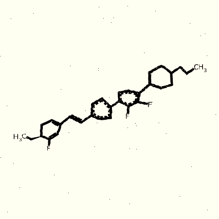 CCCC1CCC(c2ccc(-c3ccc(/C=C/C4=CC[C@H](CC)C(F)=C4)cc3)c(F)c2F)CC1